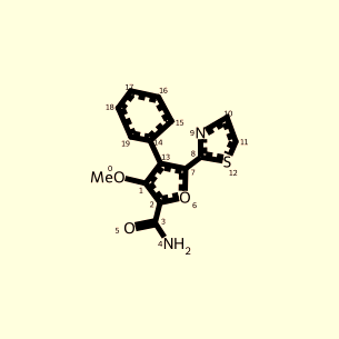 COc1c(C(N)=O)oc(-c2nccs2)c1-c1ccccc1